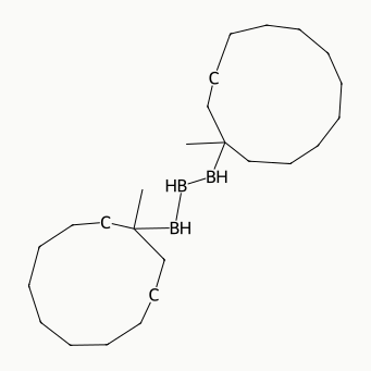 CC1(BBBC2(C)CCCCCCCCCC2)CCCCCCCCCCC1